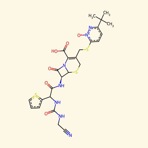 CC(C)(C)c1ccc(SCC2=C(C(=O)O)N3C(=O)[C@H](NC(=O)C(NC(=O)NCC#N)c4cccs4)C3SC2)[n+]([O-])n1